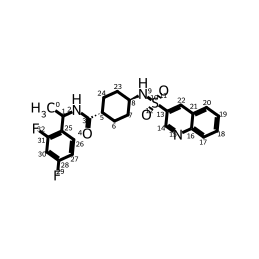 CC(NC(=O)[C@H]1CC[C@H](NS(=O)(=O)c2cnc3ccccc3c2)CC1)c1ccc(F)cc1F